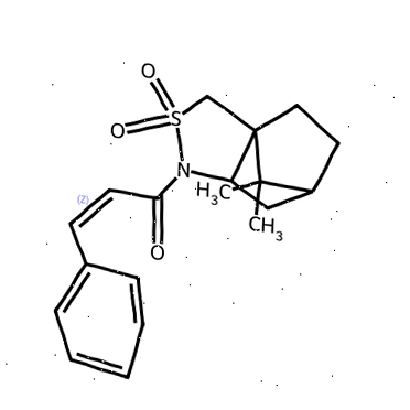 CC1(C)C2CCC13CS(=O)(=O)N(C(=O)/C=C\c1ccccc1)C3C2